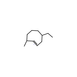 CCC1C/C=C/C(C)CCC1